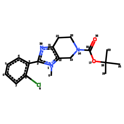 Cn1c(-c2ccccc2Cl)nc2c1CN(C(=O)OC(C)(C)C)CC2